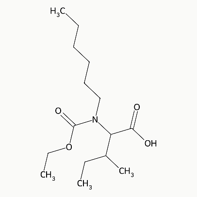 CCCCCCN(C(=O)OCC)C(C(=O)O)C(C)CC